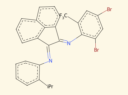 CC(C)c1ccccc1/N=C1/C(=N/c2c(Br)cc(Br)cc2C(F)(F)F)c2cccc3cccc1c23